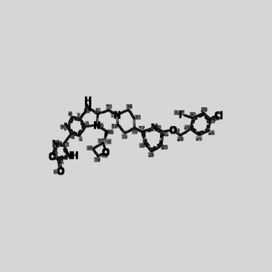 O=c1[nH]c(-c2cc3c(cn2)NC(CN2CCC(c4cccc(OCc5ccc(Cl)cc5F)n4)CC2)N3C[C@@H]2CCO2)no1